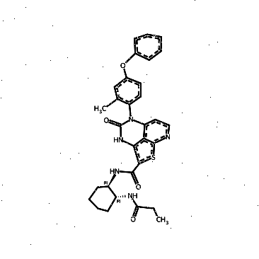 CCC(=O)N[C@@H]1CCCC[C@H]1NC(=O)c1sc2nccc3c2c1NC(=O)N3c1ccc(Oc2ccccc2)cc1C